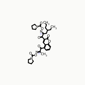 CCCC(CC)C/C(=N\OC(=O)N1CCCC1)C(=O)c1cc2c(C(=O)/C(C)=N/OC(=O)N3CCCC3)cccc2oc1=O